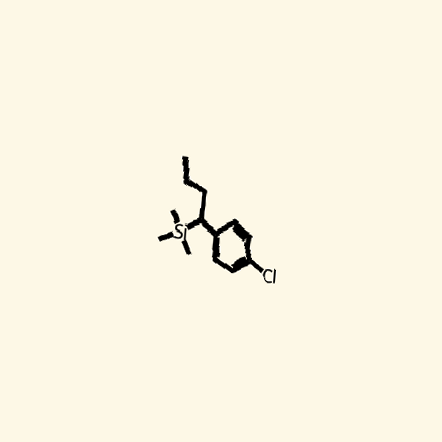 CCCC(c1ccc(Cl)cc1)[Si](C)(C)C